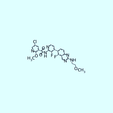 COCCNc1ncc2c(F)c(-c3ccnc(NS(=O)(=O)c4cc(Cl)cnc4OC)c3F)ccc2n1